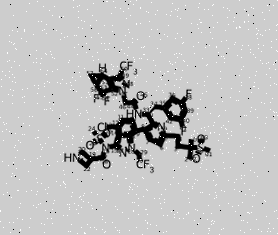 CC(C)(CCc1ccc(-c2ccc(Cl)c3c(N(C(=O)C4CNC4)S(C)(=O)=O)nn(CC(F)(F)F)c23)c([C@H](Cc2cc(F)cc(F)c2)NC(=O)Cn2nc(C(F)(F)F)c3c2C(F)(F)C2C[C@H]32)n1)S(C)(=O)=O